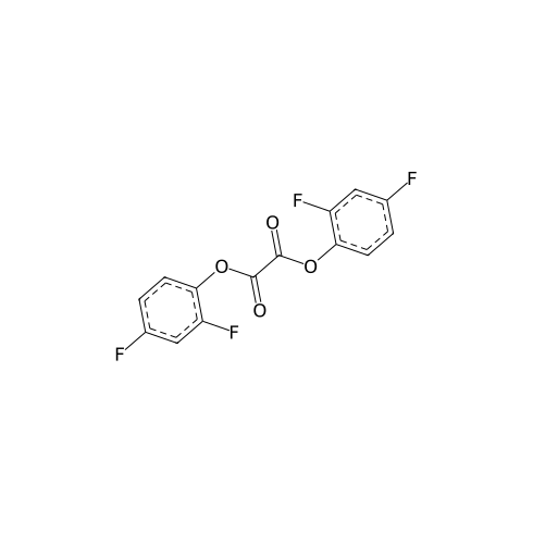 O=C(Oc1ccc(F)cc1F)C(=O)Oc1ccc(F)cc1F